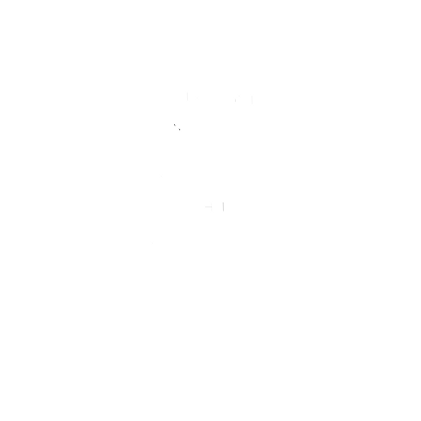 CCCCCCCCCCCCN(C)CC(O)CO.Cl